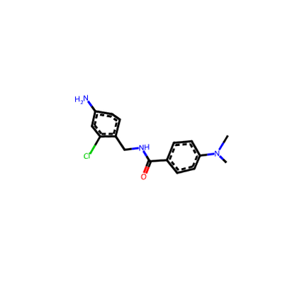 CN(C)c1ccc(C(=O)NCc2ccc(N)cc2Cl)cc1